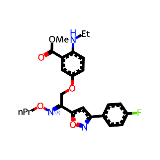 CCCO/N=C(\COc1ccc(NCC)c(C(=O)OC)c1)c1cc(-c2ccc(F)cc2)no1